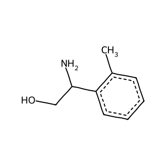 Cc1ccccc1C(N)CO